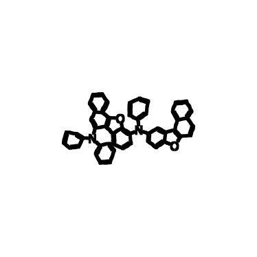 c1ccc(N(c2ccc3oc4ccc5ccccc5c4c3c2)c2cccc3c2oc2c4ccccc4cc(N(c4ccccc4)c4ccccc4)c32)cc1